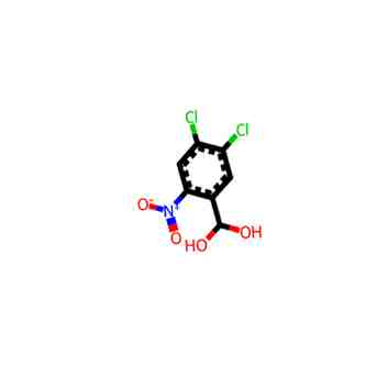 O=[N+]([O-])c1cc(Cl)c(Cl)cc1C(O)O